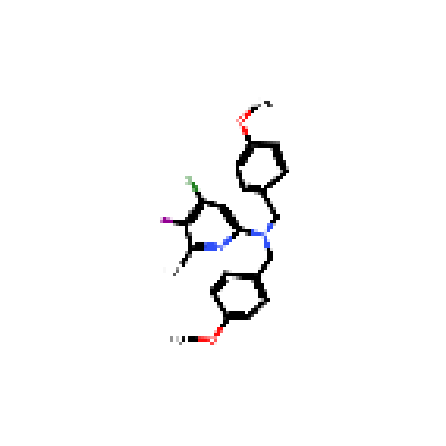 COc1ccc(CN(Cc2ccc(OC)cc2)c2cc(Cl)c(I)c(C)n2)cc1